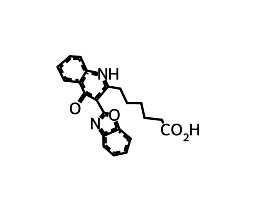 O=C(O)CCCCCc1[nH]c2ccccc2c(=O)c1-c1nc2ccccc2o1